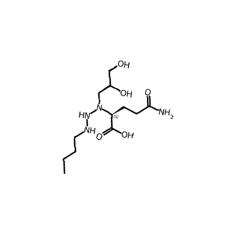 CCCCNNN(CC(O)CO)[C@@H](CCC(N)=O)C(=O)O